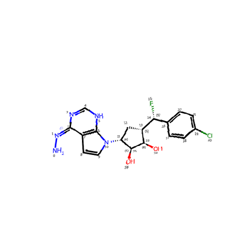 N/N=c1/nc[nH]c2c1ccn2[C@@H]1C[C@H]([C@H](F)c2ccc(Cl)cc2)[C@@H](O)[C@H]1O